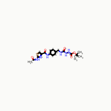 CC(=O)Nc1nc(C(=O)Nc2ccc(CNC(=O)NNC(=O)OC(C)(C)C)cc2)cs1